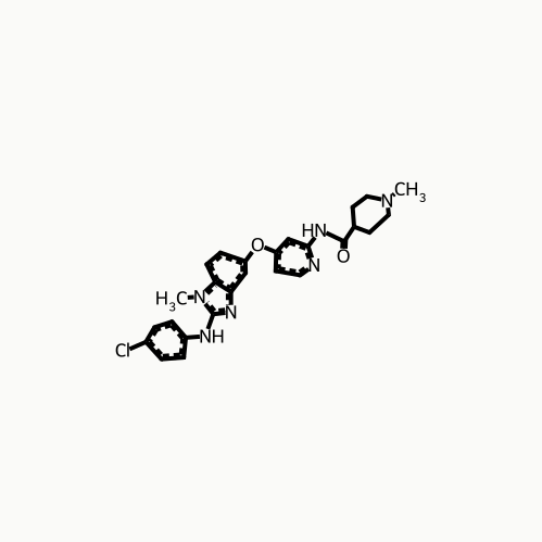 CN1CCC(C(=O)Nc2cc(Oc3ccc4c(c3)nc(Nc3ccc(Cl)cc3)n4C)ccn2)CC1